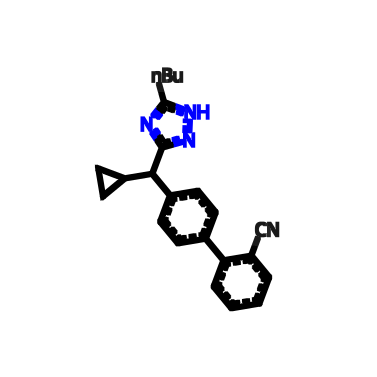 CCCCc1nc(C(c2ccc(-c3ccccc3C#N)cc2)C2CC2)n[nH]1